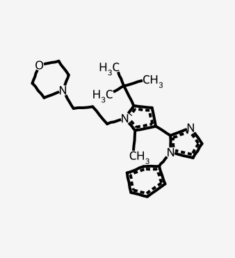 Cc1c(-c2nccn2-c2ccccc2)cc(C(C)(C)C)n1CCCN1CCOCC1